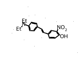 CCN(CC)c1ccc(/C=C/c2ccc(O)c([N+](=O)[O-])c2)cc1